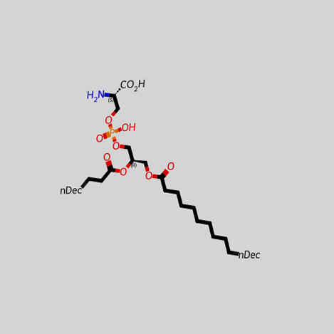 CCCCCCCCCCCCCCCCCCCC(=O)OC[C@H](COP(=O)(O)OC[C@H](N)C(=O)O)OC(=O)CCCCCCCCCCCC